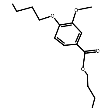 CCCCOC(=O)c1ccc(OCCCC)c(OC)c1